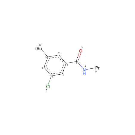 CC(C)NC(=O)c1cc(Cl)cc(C(C)(C)C)c1